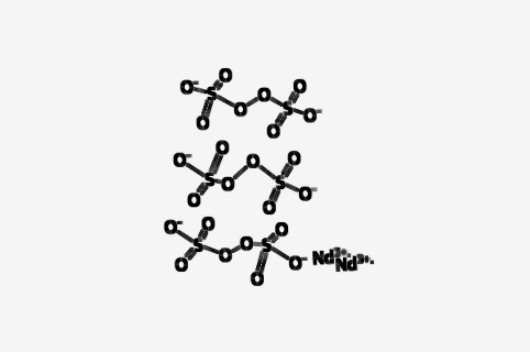 O=S(=O)([O-])OOS(=O)(=O)[O-].O=S(=O)([O-])OOS(=O)(=O)[O-].O=S(=O)([O-])OOS(=O)(=O)[O-].[Nd+3].[Nd+3]